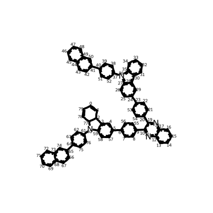 C1=CC2c3cc(-c4ccc(-c5nc6ccccc6nc5-c5ccc(-c6ccc7c(c6)c6ccccc6n7-c6ccc(-c7ccc8ccccc8c7)cc6)cc5)cc4)ccc3N(c3ccc(-c4ccc5ccccc5c4)cc3)C2C=C1